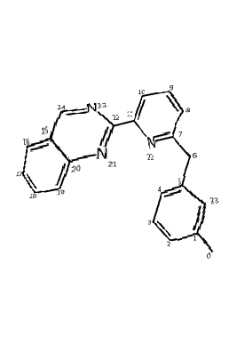 Cc1cccc(Cc2cccc(-c3ncc4ccccc4n3)n2)c1